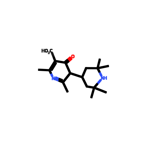 CC1=NC(C)=C(C(=O)O)C(=O)C1C1CC(C)(C)NC(C)(C)C1